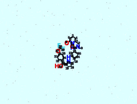 CN(Cc1cccc(=O)[nH]1)C(=O)c1ccc(C[C@@H]2CC[C@H]([C@H](O)c3ccc(OC(F)F)cc3)N2)cc1